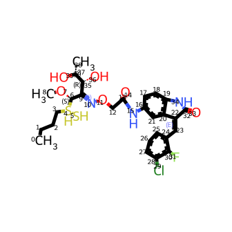 CCCC[SH](S)[C@H](OC)/C(=N/OCC(=O)Nc1ccc2c(c1)/C(=C\c1cccc(Cl)c1F)C(=O)N2)[C@@H](O)[C@@H](C)O